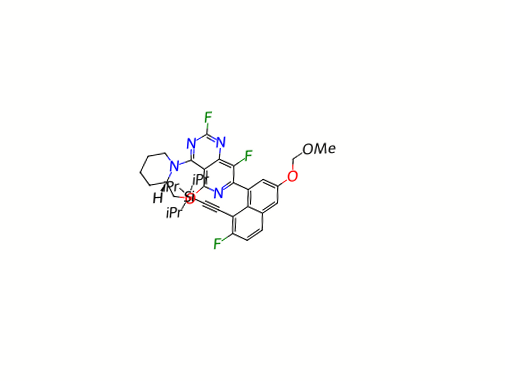 COCOc1cc(-c2nc3c4c(nc(F)nc4c2F)N2CCCC[C@H]2CO3)c2c(C#C[Si](C(C)C)(C(C)C)C(C)C)c(F)ccc2c1